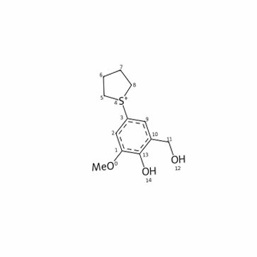 COc1cc([S+]2CCCC2)cc(CO)c1O